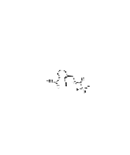 O=C(O)c1cccc(CNC(=O)C(F)(F)F)c1Cl